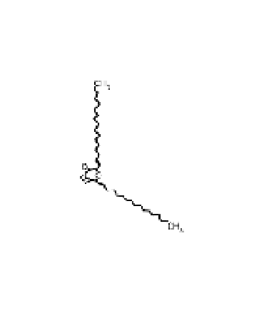 CCCCCCCCCCCCCCC/C=C/C(OC(/C=C/CCCCCCCCCCCCCCC)C1CO1)C1CO1